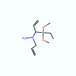 C=CCN(N)C(C=C)[Si](CC)(OC)OC